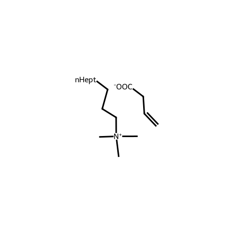 C=CCC(=O)[O-].CCCCCCCCCC[N+](C)(C)C